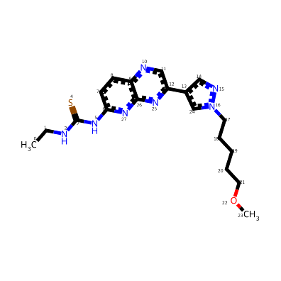 CCNC(=S)Nc1ccc2ncc(-c3cnn(CCCCCOC)c3)nc2n1